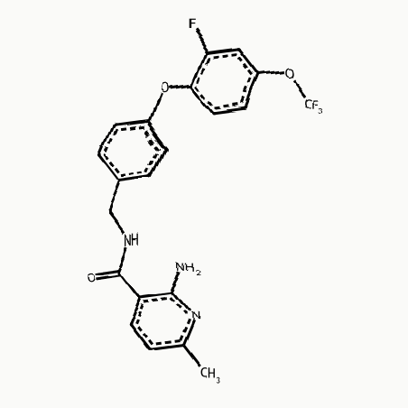 Cc1ccc(C(=O)NCc2ccc(Oc3ccc(OC(F)(F)F)cc3F)cc2)c(N)n1